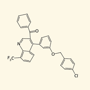 O=C(c1ccccc1)c1cnc2c(C(F)(F)F)cccc2c1-c1cccc(OCc2ccc(Cl)cc2)c1